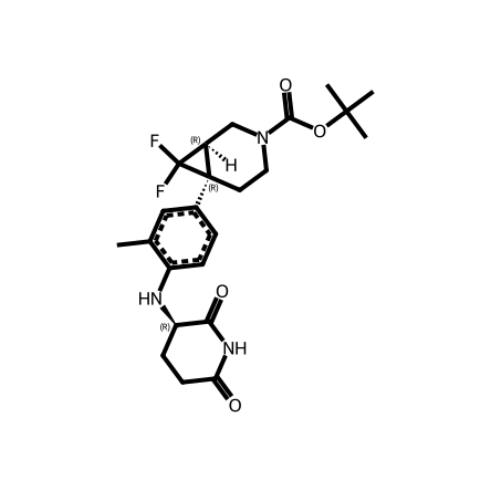 Cc1cc([C@@]23CCN(C(=O)OC(C)(C)C)C[C@@H]2C3(F)F)ccc1N[C@@H]1CCC(=O)NC1=O